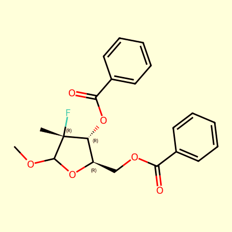 COC1O[C@H](COC(=O)c2ccccc2)[C@@H](OC(=O)c2ccccc2)[C@@]1(C)F